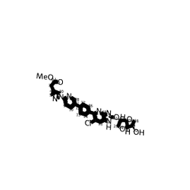 COC(=O)Cc1cnn(-c2ccc(-c3ccc(-c4nc5nc(O[C@@H]6CO[C@H]7[C@@H]6OC[C@H]7O)[nH]c5cc4Cl)cc3)cn2)c1